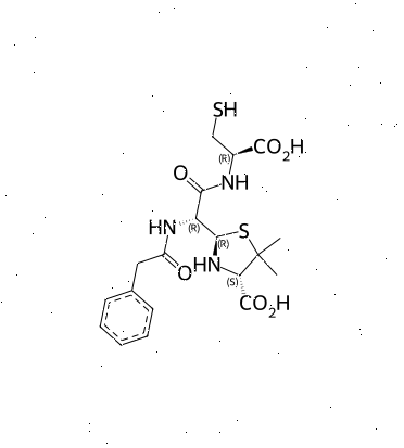 CC1(C)S[C@H]([C@H](NC(=O)Cc2ccccc2)C(=O)N[C@@H](CS)C(=O)O)N[C@H]1C(=O)O